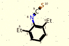 CCc1cccc(CC)c1N=C=S